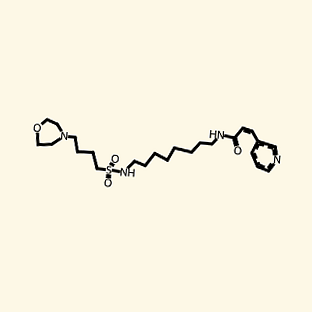 O=C(/C=C\c1cccnc1)NCCCCCCCCNS(=O)(=O)CCCCN1CCOCC1